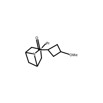 COC1CC(C(=O)N2C3CC2CN(C(C)C)C3)C1